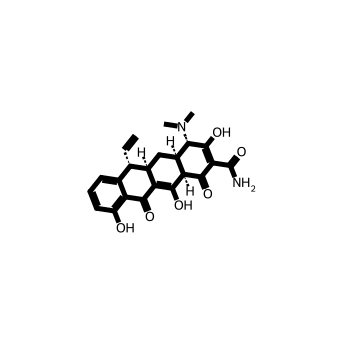 C=C[C@H]1c2cccc(O)c2C(=O)C2=C(O)[C@@H]3C(=O)C(C(N)=O)=C(O)[C@@H](N(C)C)[C@@H]3C[C@@H]21